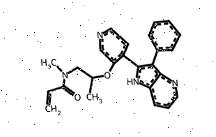 C=CC(=O)N(C)CC(C)Oc1cnccc1-c1[nH]c2cccnc2c1-c1ccccc1